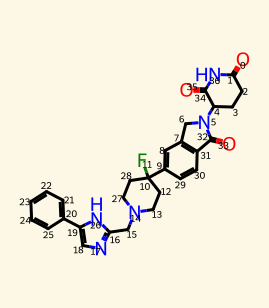 O=C1CCC(N2Cc3cc(C4(F)CCN(Cc5ncc(-c6ccccc6)[nH]5)CC4)ccc3C2=O)C(=O)N1